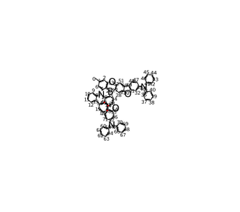 Cc1cc2c3c(c1)N(c1ccccc1-c1ccccc1)c1cc4c(cc1B3c1cc3oc5cc(N(c6ccccc6)c6ccccc6)ccc5c3cc1O2)oc1cc(N(c2ccccc2)c2ccccc2)ccc14